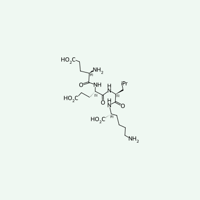 CC(C)C[C@H](NC(=O)[C@H](CCC(=O)O)NC(=O)[C@H](N)CCC(=O)O)C(=O)N[C@H](CCCCN)C(=O)O